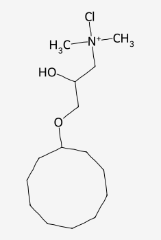 C[N+](C)(Cl)CC(O)COC1CCCCCCCCC1